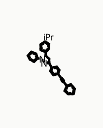 CC(C)c1ccc(C2CC(c3ccc(C#Cc4ccccc4)cc3)=NN2c2ccccc2)cc1